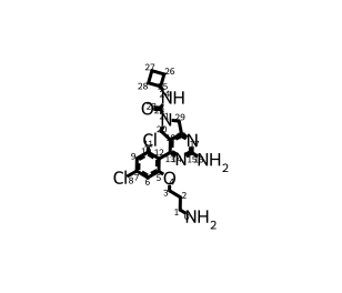 NCCCOc1cc(Cl)cc(Cl)c1-c1nc(N)nc2c1CN(C(=O)NC1CCC1)C2